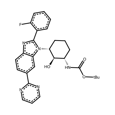 CC(C)(C)OC(=O)N[C@H]1CCC[C@@H](n2c(-c3ccccc3F)nc3ccc(-c4ncccn4)cc32)[C@@H]1O